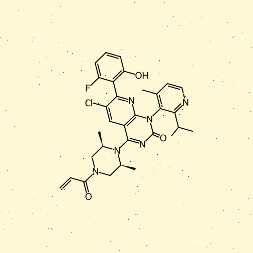 C=CC(=O)N1C[C@@H](C)N(c2nc(=O)n(-c3c(C)ccnc3C(C)C)c3nc(-c4c(O)cccc4F)c(Cl)cc23)[C@@H](C)C1